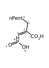 CCCCCCC(=C[PH](=O)O)C(=O)O